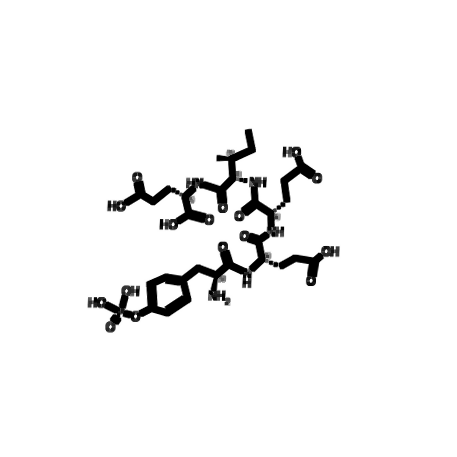 CC[C@H](C)[C@H](NC(=O)[C@H](CCC(=O)O)NC(=O)[C@H](CCC(=O)O)NC(=O)[C@@H](N)Cc1ccc(OP(=O)(O)O)cc1)C(=O)N[C@@H](CCC(=O)O)C(=O)O